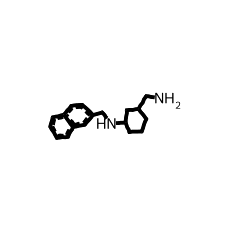 NCC1CCCC(NCc2ccc3ccccc3c2)C1